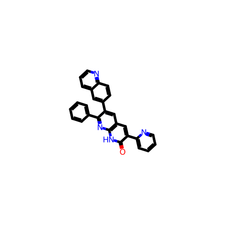 O=c1[nH]c2nc(-c3ccccc3)c(-c3ccc4ncccc4c3)cc2cc1-c1ccccn1